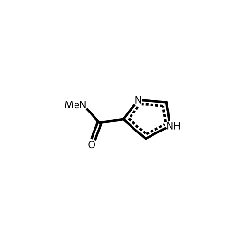 CNC(=O)c1c[nH]cn1